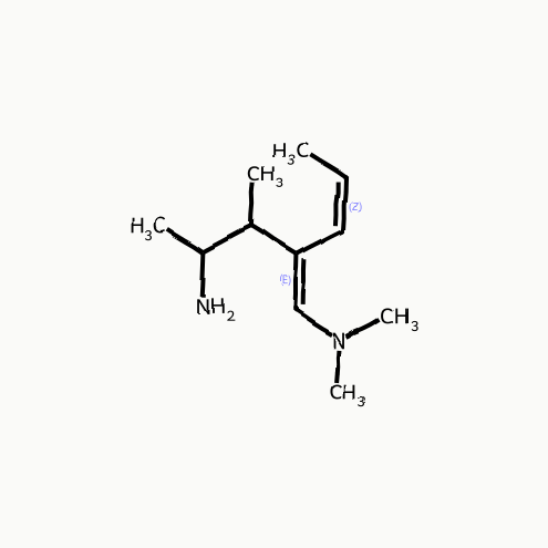 C/C=C\C(=C/N(C)C)C(C)C(C)N